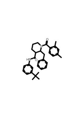 Cc1ccc(C(=O)N2CCCC(C(=O)Nc3cccc(C(C)(C)C)c3)C2Cc2ccccc2)c(C)c1